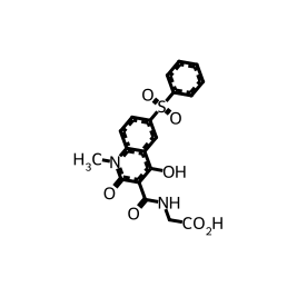 Cn1c(=O)c(C(=O)NCC(=O)O)c(O)c2cc(S(=O)(=O)c3ccccc3)ccc21